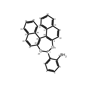 Bc1ccccc1-p1oc2ccc3ccccc3c2c2c(ccc3ccccc32)o1